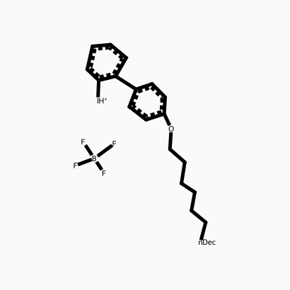 CCCCCCCCCCCCCCCCOc1ccc(-c2ccccc2[IH+])cc1.F[B-](F)(F)F